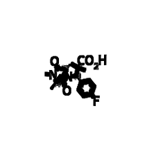 CN1C(=O)[C@@]23C[C@](C)(C(=O)O)[C@H](c4ccc(F)cc4)N2C(=O)[C@]1(C)SS3